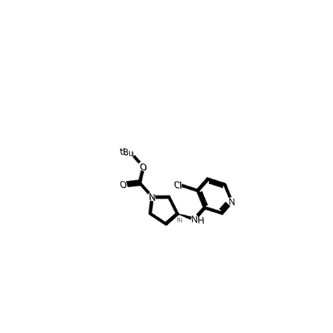 CC(C)(C)OC(=O)N1CC[C@H](Nc2cnccc2Cl)C1